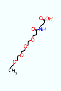 CCCOCCOCCOCCOCCC(=O)NCCC(=O)O